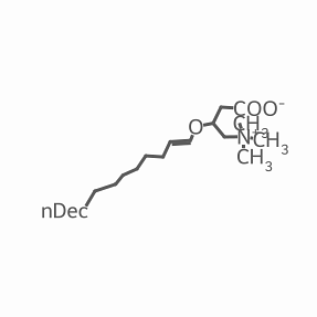 CCCCCCCCCCCCCCCCC=COC(CC(=O)[O-])C[N+](C)(C)C